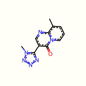 Cc1cccn2c(=O)c(-c3nnnn3C)cnc12